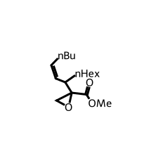 CCCC/C=C\C(CCCCCC)C1(C(=O)OC)CO1